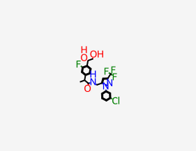 CC(C(=O)NCc1cc(C(F)(F)F)nn1-c1cccc(Cl)c1)c1ccc(C(O)CO)c(F)c1